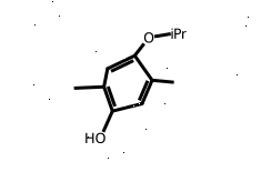 Cc1cc(OC(C)C)c(C)cc1O